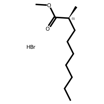 Br.CCCCCCC[C@H](C)C(=O)OC